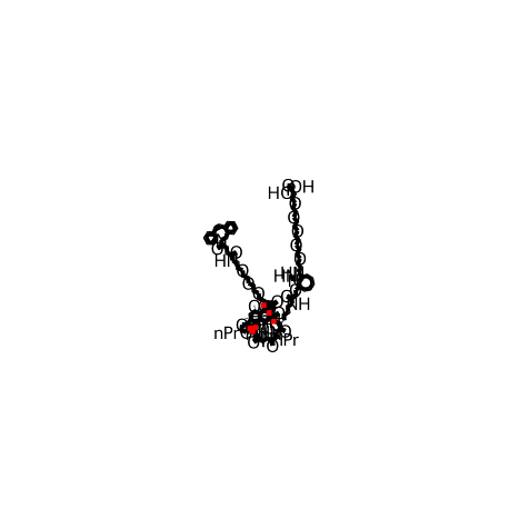 CCCC1O[C@@H]2C[C@H]3[C@@H]4C[C@H](F)C5=CC(=O)C=C[C@]5(C)[C@@]4(F)[C@@H](O)C[C@]3(C)[C@]2(C(=O)CNC(=O)[C@H](C)NC(=O)[C@@H](NC(=O)[C@@H](CCCCNC(=O)COC2CCCCC/C(NCCOCCOCCOCCOCCOCCP(=O)(O)O)=C\2N=N)NC(=O)CCOCCOCCOCCOCCNC(=O)CCC(=O)N2Cc3ccccc3C#Cc3ccccc32)C(C)C)O1